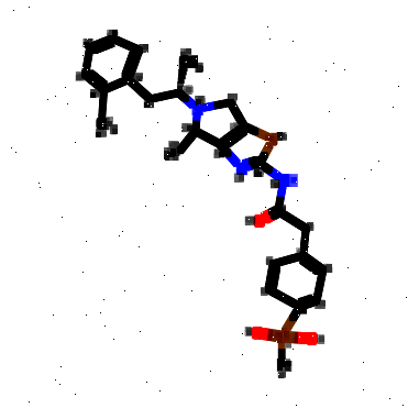 CCS(=O)(=O)c1ccc(CC(=O)Nc2nc3c(s2)CN([C@@H](C)Cc2ccccc2C(F)(F)F)C3C(C)C)cc1